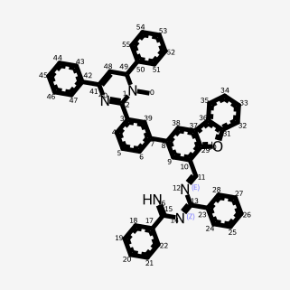 CN1C(c2cccc(-c3cc(/C=N/C(=N\C(=N)c4ccccc4)c4ccccc4)c4oc5ccccc5c4c3)c2)=NC(c2ccccc2)=CC1c1ccccc1